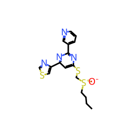 CCCC[S+]([O-])CSc1cc(-c2cscn2)nc(-c2cccnc2)n1